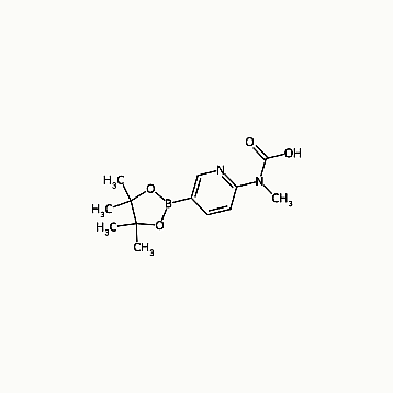 CN(C(=O)O)c1ccc(B2OC(C)(C)C(C)(C)O2)cn1